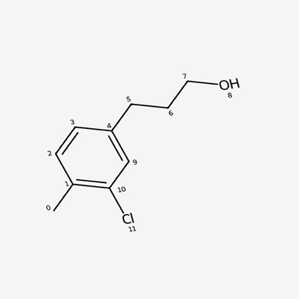 Cc1ccc(CCCO)cc1Cl